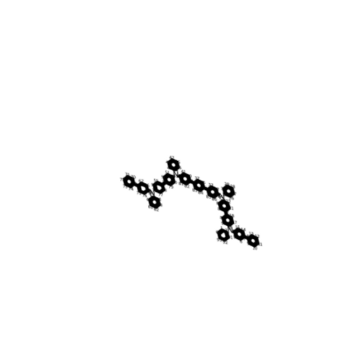 C1=CC(N(c2ccc(-c3ccccc3)cc2)c2ccc(-c3ccc(N(c4ccccc4)c4ccc(-c5ccc(-c6ccc(N(c7ccccc7)c7ccc(C8=CC=C(N(c9ccccc9)C9C=CC(c%10ccccc%10)=CC9)CC8)cc7)cc6)cc5)cc4)cc3)cc2)=CCC1